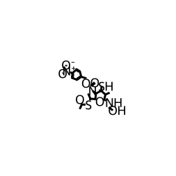 CC(=O)SC1CC(C(S)C(C)C(=O)NCO)N(C(=O)OCc2ccc([N+](=O)[O-])cc2)C1